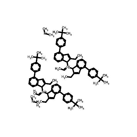 C[CH]=[Hf]([CH]1C(CC)=Cc2c(-c3ccc(C(C)(C)C)cc3)cccc21)[CH]1C(CC)=Cc2c(-c3ccc(C(C)(C)C)cc3)cccc21.C[CH]=[Zr+2]([CH]1C(CC)=Cc2c(-c3ccc(C(C)(C)C)cc3)cccc21)[CH]1C(CC)=Cc2c(-c3ccc(C(C)(C)C)cc3)cccc21.C[N-]C.C[N-]C